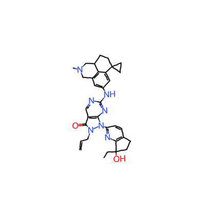 C=CCn1c(=O)c2cnc(Nc3cc4c5c(c3)C3(CCC5CN(C)C4)CC3)nc2n1-c1ccc2c(n1)C(O)(CC)CC2